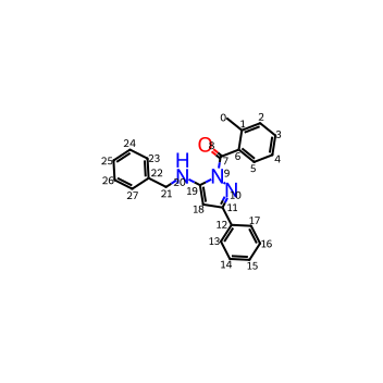 Cc1ccccc1C(=O)n1nc(-c2ccccc2)cc1NCc1ccccc1